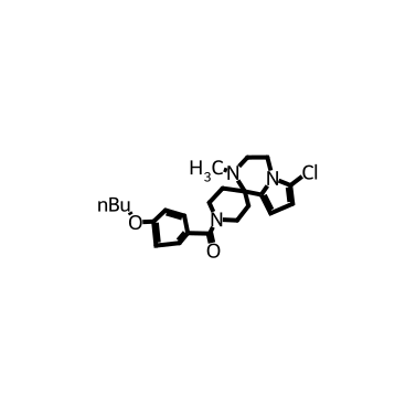 CCCCOc1ccc(C(=O)N2CCC3(CC2)c2ccc(Cl)n2CCN3C)cc1